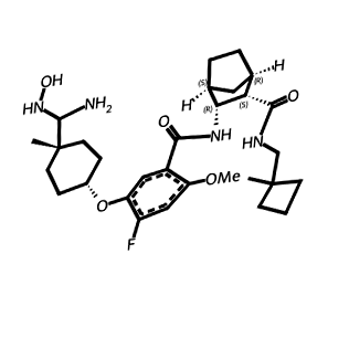 COc1cc(F)c(O[C@H]2CC[C@@](C)(C(N)NO)CC2)cc1C(=O)N[C@@H]1[C@H]2CC[C@H](C2)[C@@H]1C(=O)NCC1(C)CCC1